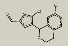 O=Cc1cc(C2OCCc3ccc(Cl)cc32)c(Cl)s1